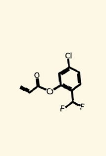 C=CC(=O)Oc1cc(Cl)ccc1C(F)F